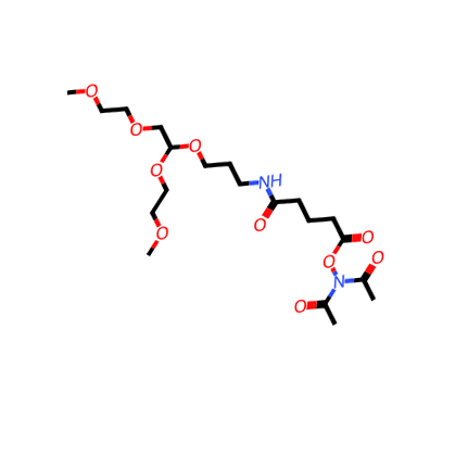 COCCOCC(OCCCNC(=O)CCCC(=O)ON(C(C)=O)C(C)=O)OCCOC